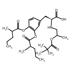 CCCC(C)C(=O)Oc1ccc(C[C@H](NCC(C)OC(=O)C(C)(C)C)C(=O)O)cc1OC(=O)C(C)CCC